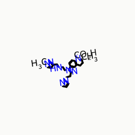 CC1CCc2c(ccc3c2nc(CCn2cccn2)n3CCNCc2ccn(C)n2)N1C(=O)O